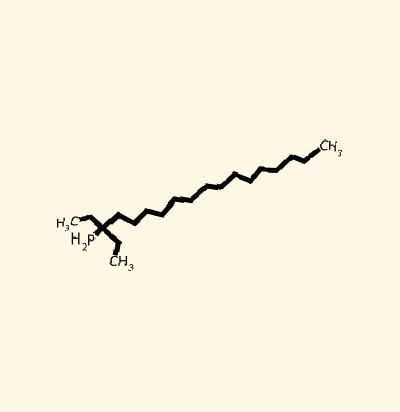 CCCCCCCCCCCCCCCC(P)(CC)CC